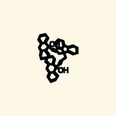 OC1(C#CCC2(CC#CC3(O)c4ccccc4Cc4ccccc43)c3ccccc3-c3ccccc32)c2ccccc2Cc2ccccc21